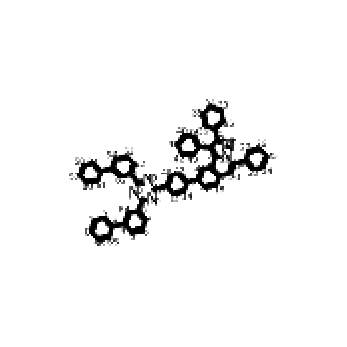 c1ccc(-c2cccc(-c3nc(-c4ccc(-c5ccc6cc(-c7ccccc7)n7nc(-c8ccccc8)c(-c8ccccc8)c7c6c5)cc4)nc(-c4cccc(-c5ccccc5)c4)n3)c2)cc1